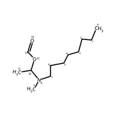 CCCCCCCCN(C)C(C)O[C]=O